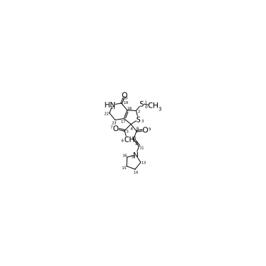 CSC1SC(C(C)=O)(C(=O)C=CN2CCCC2)C2=C1C(=O)NCC2